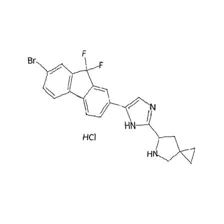 Cl.FC1(F)c2cc(Br)ccc2-c2ccc(-c3cnc(C4CC5(CC5)CN4)[nH]3)cc21